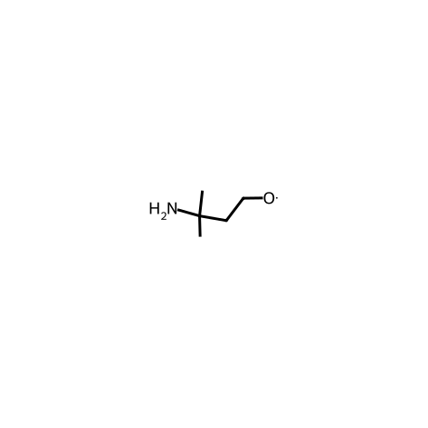 CC(C)(N)CC[O]